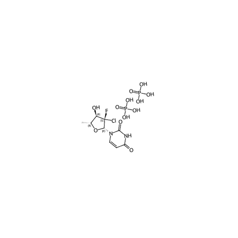 C[C@H]1O[C@@H](n2ccc(=O)[nH]c2=O)[C@@](F)(Cl)[C@@H]1O.O=P(O)(O)O.O=P(O)(O)O